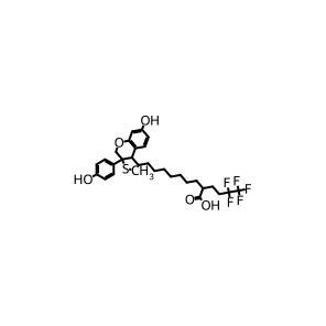 CSC1(c2ccc(O)cc2)COc2cc(O)ccc2C1CCCCCCCCC(CCC(F)(F)C(F)(F)F)C(=O)O